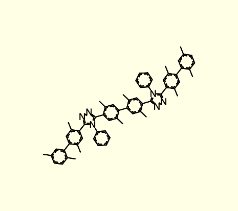 Cc1ccc(C)c(-c2cc(C)c(-c3nnc(-c4cc(C)c(-c5cc(C)c(-c6nnc(-c7cc(C)c(-c8cc(C)ccc8C)cc7C)n6-c6ccccc6)cc5C)cc4C)n3-c3ccccc3)cc2C)c1